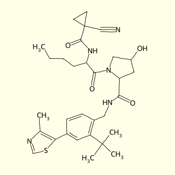 CCCCC(NC(=O)C1(C#N)CC1)C(=O)N1CC(O)CC1C(=O)NCc1ccc(-c2scnc2C)cc1C(C)(C)C